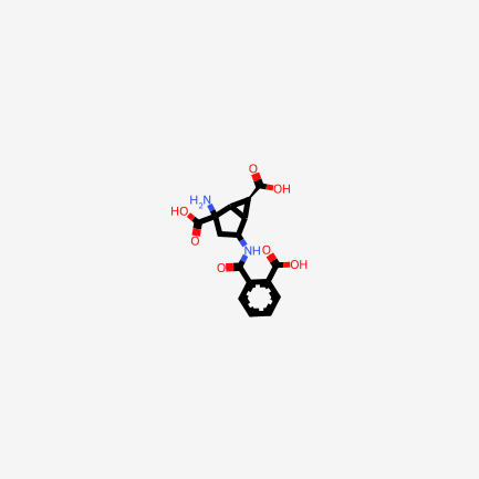 NC1(C(=O)O)CC(NC(=O)c2ccccc2C(=O)O)C2C1[C@H]2C(=O)O